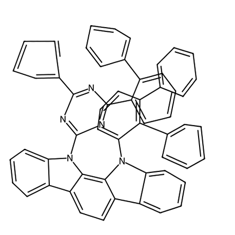 c1ccc(-c2nc(-c3ccccc3-c3ccccc3)nc(-n3c4ccccc4c4ccc5c6ccccc6n(-c6cccc(-c7ccccc7)c6-c6ccccc6)c5c43)n2)cc1